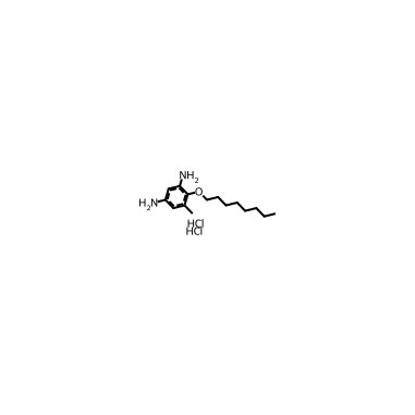 CCCCCCCCOc1c(C)cc(N)cc1N.Cl.Cl